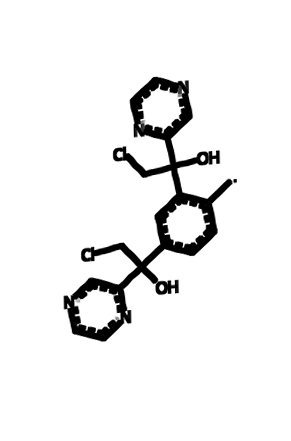 [CH2]c1ccc(C(O)(CCl)c2cnccn2)cc1C(O)(CCl)c1cnccn1